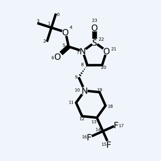 CC(C)(C)OC(=O)N1[C@@H](CN2CCC(C(F)(F)F)CC2)COS1=O